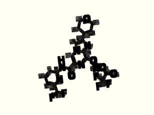 CCOc1nc(C(=O)Nc2cccc(C(F)F)n2)cn2cc(C3CCOCC3)nc12.O=C(O)C(F)(F)F